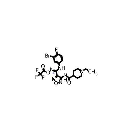 CCN1CCC(C(=O)Nc2nonc2/C(=N\OC(=O)C(F)(F)F)Nc2ccc(F)c(Br)c2)CC1